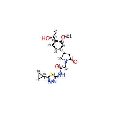 CCOc1cc([C@@H]2CC(=O)N(CC(=O)Nc3nnc(C4CC4)s3)C2)ccc1C(C)O